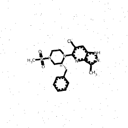 Cc1n[nH]c2cc(Cl)c(N3CCN(S(C)(=O)=O)C[C@H]3Cc3ccccc3)nc12